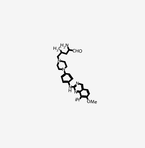 COc1ccc2cnc(Nc3ccc(N4CCN(CC(C)CC(N)C=O)CC4)cc3)nc2c1C(C)C